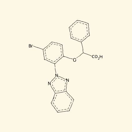 O=C(O)C(Oc1ccc(Br)cc1-n1nc2ccccc2n1)c1ccccc1